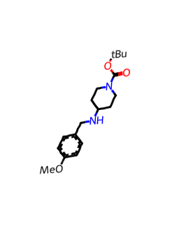 COc1ccc(CNC2CCN(C(=O)OC(C)(C)C)CC2)cc1